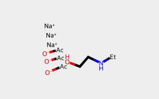 CC(=O)[O-].CC(=O)[O-].CC(=O)[O-].CCNCCO.[Na+].[Na+].[Na+]